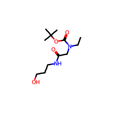 CCN(CC(=O)NCCCO)C(=O)OC(C)(C)C